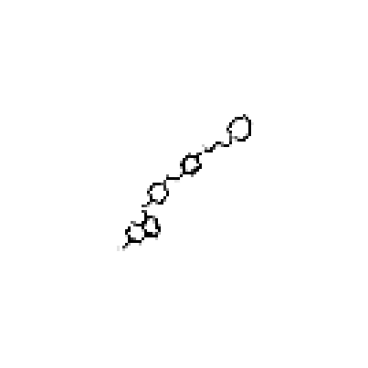 CCc1cnc2c(OC3CCN(CCc4ccc(OCCCN5CCCCCC5)cc4)CC3)cccc2c1